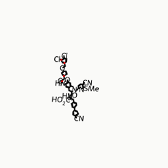 CSc1nc(CN2Cc3cc4c(cc3CC2C(=O)N[C@@H](Cc2ccc(-c3ccc(C#N)cc3)cc2)C(=O)O)NC(=O)C(c2ccc(OCc3ccc(Cl)c(Cl)c3)cc2)O4)ccc1C#N